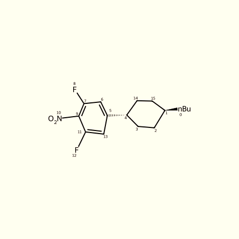 CCCC[C@H]1CC[C@H](c2cc(F)c([N+](=O)[O-])c(F)c2)CC1